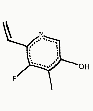 C=Cc1ncc(O)c(C)c1F